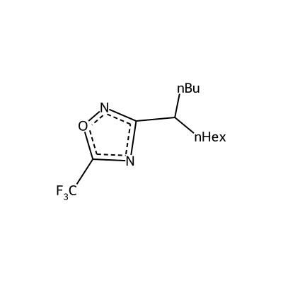 CCCCCCC(CCCC)c1noc(C(F)(F)F)n1